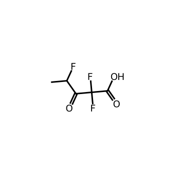 CC(F)C(=O)C(F)(F)C(=O)O